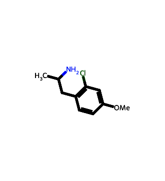 COc1ccc(CC(C)N)c(Cl)c1